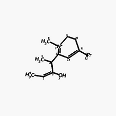 C/C=C(/O)C(C)C1=[N+](C)CCC(C(C)C)=C1